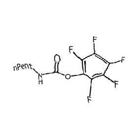 CCCCCNC(=O)Oc1c(F)c(F)c(F)c(F)c1F